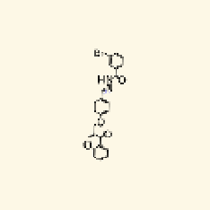 O=C(N/N=C/c1ccc(OCc2coc3ccccc3c2=O)cc1)c1cccc(Br)c1